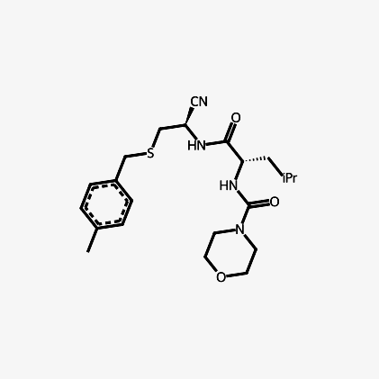 Cc1ccc(CSC[C@@H](C#N)NC(=O)[C@H](CC(C)C)NC(=O)N2CCOCC2)cc1